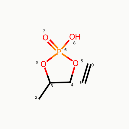 C=C.CC1COP(=O)(O)O1